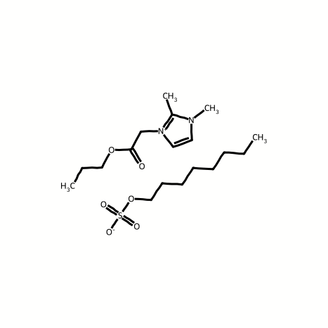 CCCCCCCCOS(=O)(=O)[O-].CCCOC(=O)C[n+]1ccn(C)c1C